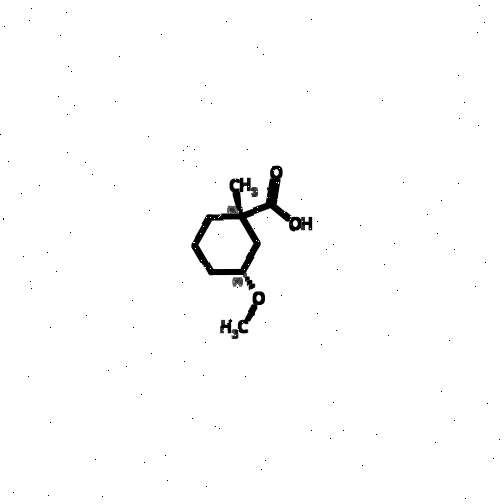 CO[C@@H]1CCC[C@](C)(C(=O)O)C1